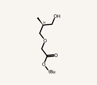 C[C@@H](CO)COCC(=O)OC(C)(C)C